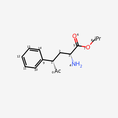 CC(=O)[C@@H](C[C@@H](N)C(=O)OC(C)C)c1ccccc1